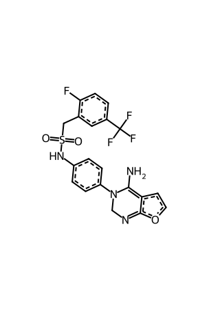 NC1=c2ccoc2=NCN1c1ccc(NS(=O)(=O)Cc2cc(C(F)(F)F)ccc2F)cc1